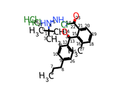 CC(C)(C)NN.CCCc1ccc(C(=O)c2c(C)cccc2C(=O)Cl)cc1.Cl.Cl